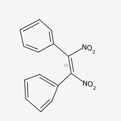 O=[N+]([O-])/C(=C(/c1ccccc1)[N+](=O)[O-])c1ccccc1